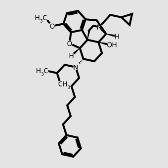 COc1ccc2c3c1O[C@H]1[C@@H](N(CCCCCCc4ccccc4)CC(C)C)CC[C@@]4(O)[C@@H](C2)N(CC2CC2)CC[C@]314